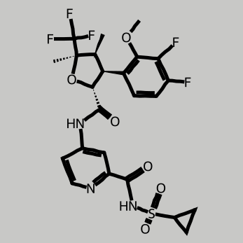 COc1c([C@H]2[C@H](C(=O)Nc3ccnc(C(=O)NS(=O)(=O)C4CC4)c3)O[C@@](C)(C(F)(F)F)[C@H]2C)ccc(F)c1F